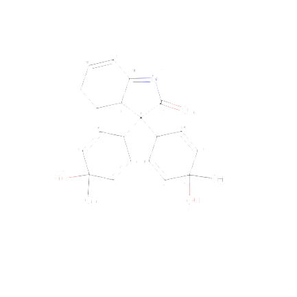 CC1(O)C=CC(C2(C3C=CC(C)(O)C=C3)C(=O)N=C3C=CCCC32)C=C1